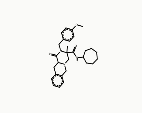 COc1ccc(CN2C(=O)C3Cc4ccccc4CN3CC2(C)C(=O)NC2CCCCCC2)cc1